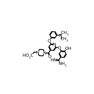 CN(C)c1cccc(Oc2cc(C(=O)N3CCN(CC(=O)O)CC3)cc(Oc3cc(C(=N)N)ccc3O)n2)c1